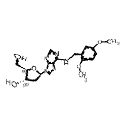 COc1ccc(OC)c(CNc2ncnc3c2ncn3C2C[C@H](O)[C@@H](CO)O2)c1